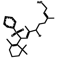 CC(=O)OCC=C(C)CCC(Br)C(C)=CC(C1=C(C)CCCC1(C)C)S(=O)(=O)c1ccccc1